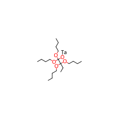 CCCCOC(CC)(OCCCC)C([O][Ta])(OCCCC)OCCCC